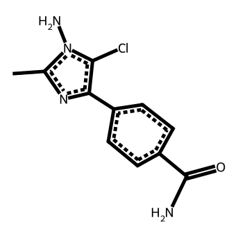 Cc1nc(-c2ccc(C(N)=O)cc2)c(Cl)n1N